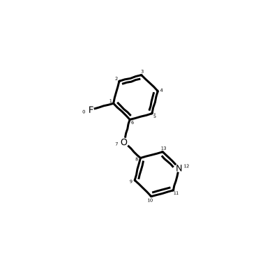 Fc1ccc[c]c1Oc1cccnc1